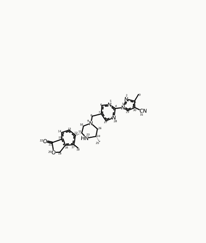 Cc1nn(-c2ncc(CN3C[C@@H](c4ccc5c(c4C)COC5=O)N[C@@H](C)C3)cn2)cc1C#N